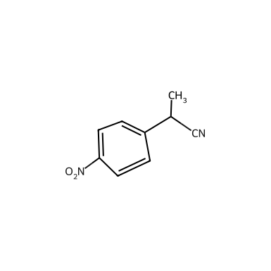 CC(C#N)c1ccc([N+](=O)[O-])cc1